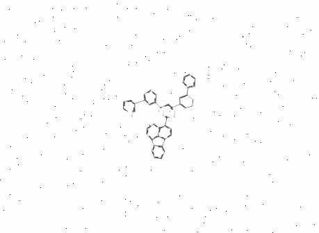 C1=C(c2ccccc2)CCC=C1c1cc(-c2cccc(-c3cccnc3)c2)nc(-c2ccc3c4c(cccc24)-c2ccccc2-3)n1